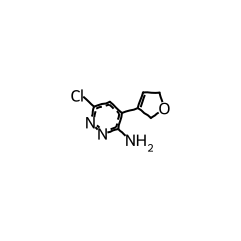 Nc1nnc(Cl)cc1C1=CCOC1